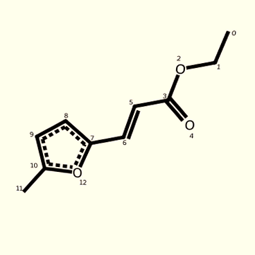 CCOC(=O)/C=C/c1ccc(C)o1